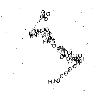 CC[C@H](C)[C@@H]([C@@H](CC(=O)N1CCC[C@H]1[C@H](OC)[C@@H](C)C(=O)N[C@@H](Cc1ccc(-c2cnc([C@H](Cc3ccccc3)NC(=O)[C@H](C)[C@@H](OC)[C@@H]3CCCN3C(=O)C[C@@H](OC)[C@H]([C@@H](C)CC)N(C)C(=O)[C@@H](NC(=O)[C@H](C(C)C)N(C)C(=O)CCOCCOCCOCCOCCON)C(C)C)s2)cc1)c1nccs1)OC)N(C)C(=O)[C@@H](NC(=O)[C@H](C(C)C)N(C)CCCCCCCCCCON1C(=O)c2ccccc2C1=O)C(C)C